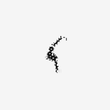 CCCCCCCCOc1ccc(-c2ccc(C(=O)O)c(-c3ccc(OCCCCCCC)c(F)c3F)c2)cc1